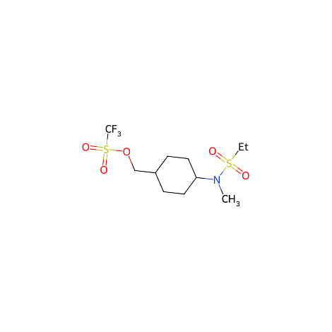 CCS(=O)(=O)N(C)C1CCC(COS(=O)(=O)C(F)(F)F)CC1